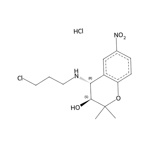 CC1(C)Oc2ccc([N+](=O)[O-])cc2[C@@H](NCCCCl)[C@@H]1O.Cl